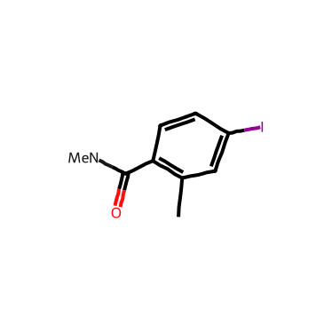 CNC(=O)c1ccc(I)cc1C